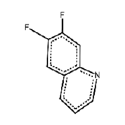 Fc1cc2cccnc2cc1F